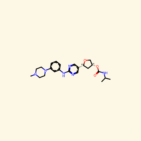 CC(C)NC(=O)O[C@H]1CO[C@@H](c2cnc(Nc3cccc(N4CCN(C)CC4)c3)nc2)C1